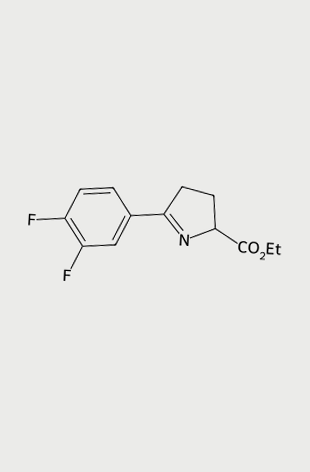 CCOC(=O)C1CCC(c2ccc(F)c(F)c2)=N1